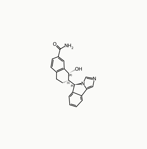 NC(=O)c1ccc2c(c1)[C@H](O)[C@H]([C@@H]1c3ccccc3-c3cncn31)CC2